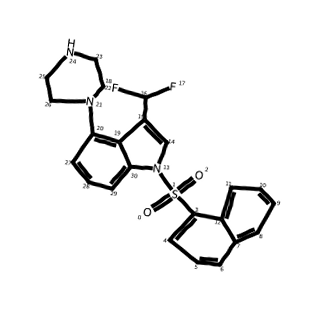 O=S(=O)(c1cccc2ccccc12)n1cc(C(F)F)c2c(N3CCNCC3)cccc21